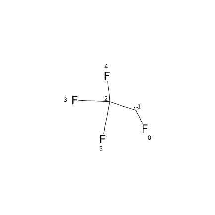 F[C]C(F)(F)F